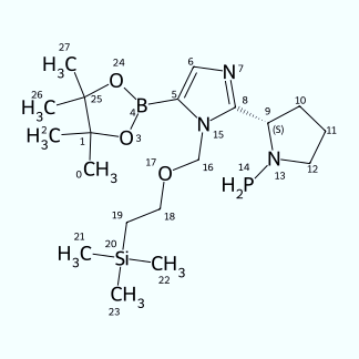 CC1(C)OB(c2cnc([C@@H]3CCCN3P)n2COCC[Si](C)(C)C)OC1(C)C